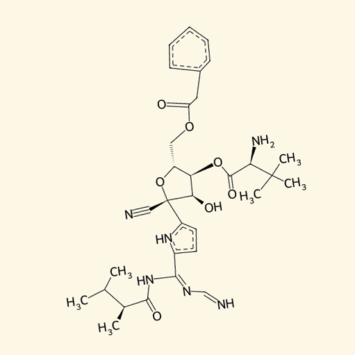 CC(C)[C@H](C)C(=O)N/C(=N/C=N)c1ccc([C@]2(C#N)O[C@H](COC(=O)Cc3ccccc3)[C@@H](OC(=O)[C@@H](N)C(C)(C)C)[C@H]2O)[nH]1